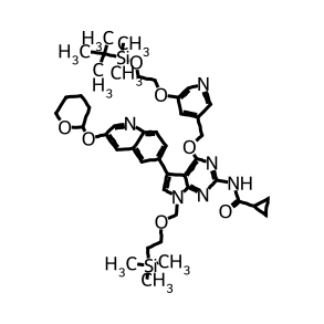 CC(C)(C)[Si](C)(C)OCCOc1cncc(COc2nc(NC(=O)C3CC3)nc3c2c(-c2ccc4ncc(OC5CCCCO5)cc4c2)cn3COCC[Si](C)(C)C)c1